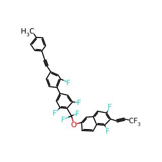 Cc1ccc(C#Cc2ccc(-c3cc(F)c(C(F)(F)Oc4ccc5c(F)c(C#CC(F)(F)F)c(F)cc5c4)c(F)c3)c(F)c2)cc1